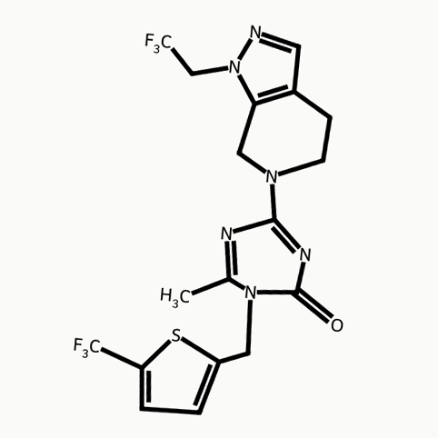 Cc1nc(N2CCc3cnn(CC(F)(F)F)c3C2)nc(=O)n1Cc1ccc(C(F)(F)F)s1